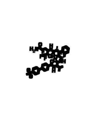 CC(C)[C@H](NC(=O)c1ccc(-c2ccc(S(C)(=O)=O)cc2)cc1)C(=O)N[C@@H](Cc1ccccc1)C(=O)N[C@@H](C)C(=O)NC(CCC(N)=O)C(O)C(F)(F)F